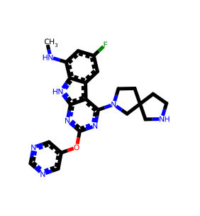 CNc1cc(F)cc2c1[nH]c1nc(Oc3cncnc3)nc(N3CCC4(CCNC4)C3)c12